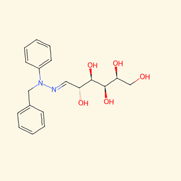 OC[C@H](O)[C@@H](O)[C@H](O)[C@H](O)/C=N/N(Cc1ccccc1)c1ccccc1